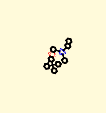 c1ccc(-c2nc(-c3ccc4ccccc4c3)nc(-c3cccc4c3Oc3cc5c(cc3O4)-c3ccccc3C5(c3ccccc3)c3ccccc3)n2)cc1